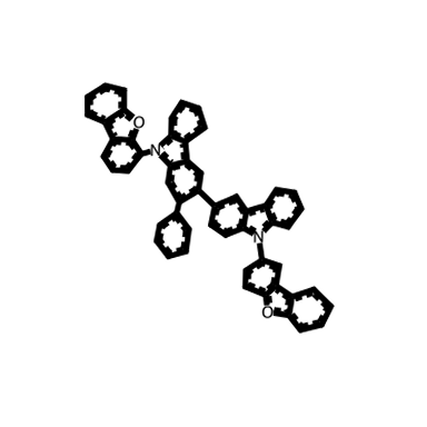 c1ccc(-c2cc3c(cc2-c2ccc4c(c2)c2ccccc2n4-c2ccc4oc5ccccc5c4c2)c2ccccc2n3-c2cccc3c2oc2ccccc23)cc1